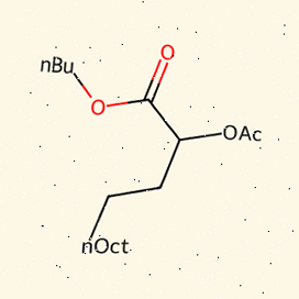 CCCCCCCCCCC(OC(C)=O)C(=O)OCCCC